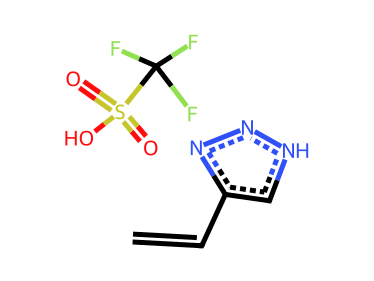 C=Cc1c[nH]nn1.O=S(=O)(O)C(F)(F)F